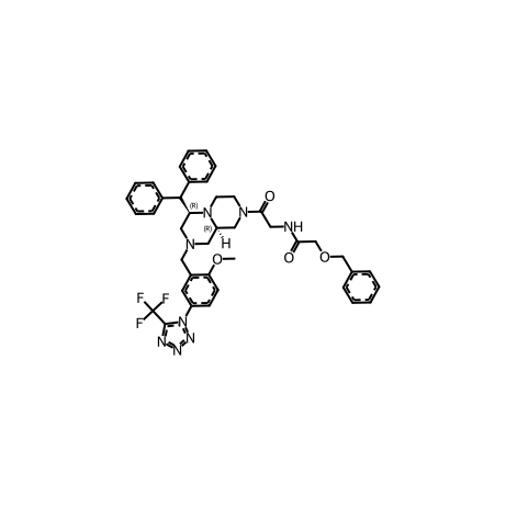 COc1ccc(-n2nnnc2C(F)(F)F)cc1CN1C[C@@H]2CN(C(=O)CNC(=O)COCc3ccccc3)CCN2[C@H](C(c2ccccc2)c2ccccc2)C1